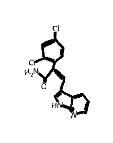 NC(=O)C(=Cc1c[nH]c2ncccc12)c1ccc(Cl)cc1Cl